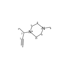 C#CC(C)N1CCN(C)CC1